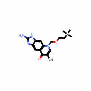 C[Si](C)(C)CCOCn1cc(C#N)c(=O)c2cc3nc(N)[nH]c3cc21